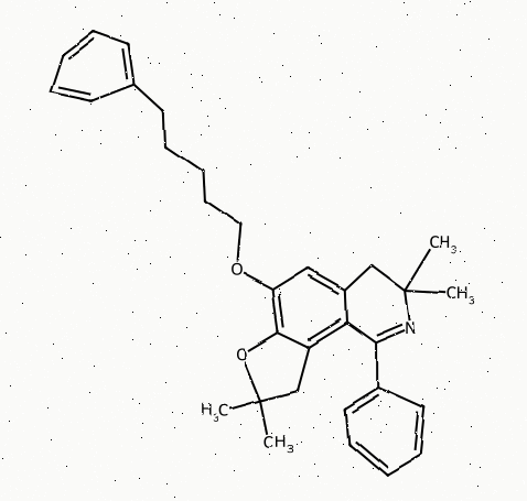 CC1(C)Cc2cc(OCCCCCc3ccccc3)c3c(c2C(c2ccccc2)=N1)CC(C)(C)O3